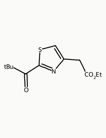 CCOC(=O)Cc1csc(C(=O)C(C)(C)C)n1